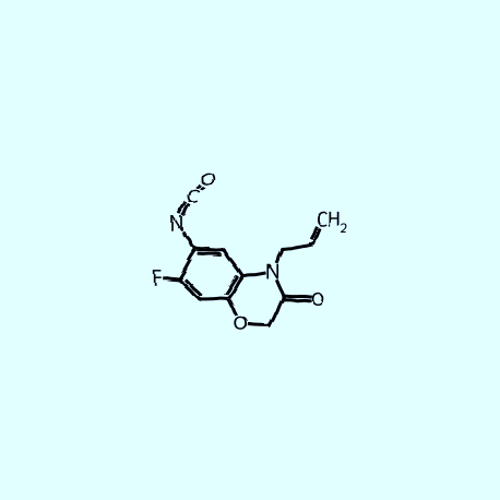 C=CCN1C(=O)COc2cc(F)c(N=C=O)cc21